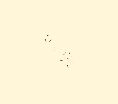 C=C1OC(=O)c2c(ncc(I)c2COC(=O)COc2ccccc2)N1C